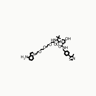 Cc1ncsc1-c1ccc(CNC(=O)[C@@H]2C[C@@H](O)CN2C(=O)[C@@H](NC(=O)COCCOCCOCCn2ccc3c(N)cccc32)C(C)(C)C)cc1